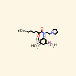 CC1(C(=O)O)C=CC=C(C(=O)O)C1.CCCCCCCCCCCCCCC(=O)C(=O)NCCN1CCCC1.I